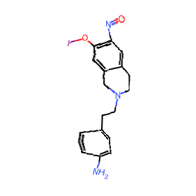 Nc1ccc(CCN2CCc3cc(N=O)c(OI)cc3C2)cc1